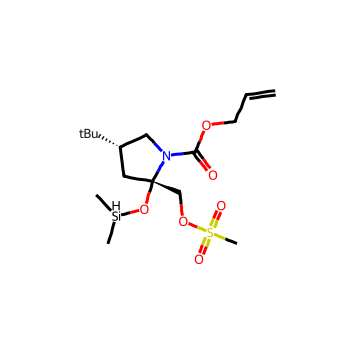 C=CCOC(=O)N1C[C@@H](C(C)(C)C)C[C@@]1(COS(C)(=O)=O)O[SiH](C)C